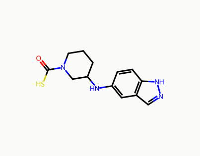 O=C(S)N1CCCC(Nc2ccc3[nH]ncc3c2)C1